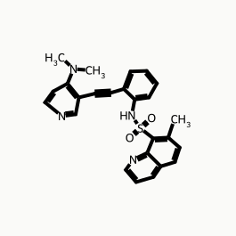 Cc1ccc2cccnc2c1S(=O)(=O)Nc1ccccc1C#Cc1cnccc1N(C)C